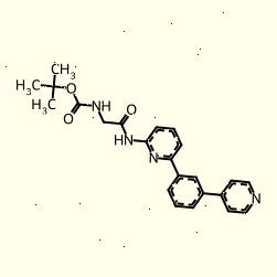 CC(C)(C)OC(=O)NCC(=O)Nc1cccc(-c2cccc(-c3ccncc3)c2)n1